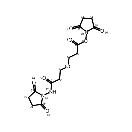 O=C(CCOCCC(=O)ON1C(=O)CCC1=O)NN1C(=O)CCC1=O